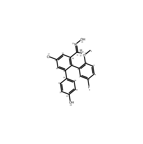 COc1ccc(F)cc1-c1c(/C(N)=N/O)cc(Cl)cc1-c1ccc(O)cc1